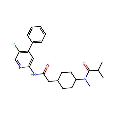 CC(C)C(=O)N(C)C1CCC(CC(=O)Nc2cc(-c3ccccc3)c(Br)cn2)CC1